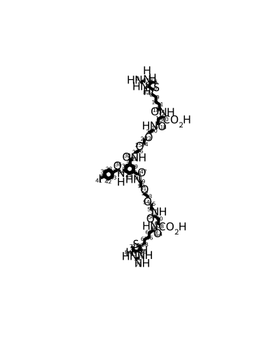 N=C1N[C@H]2[C@H](CS[C@H]2CCCCC(=O)N[C@@H](CC(=O)NCCOCCOCCNC(=O)c2cc(NC(=O)c3ccc(I)cc3)cc(C(=O)NCCOCCOCCNC(=O)C[C@H](NC(=O)CCCC[C@@H]3SC[C@@H]4NC(=N)N[C@@H]43)C(=O)O)c2)C(=O)O)N1